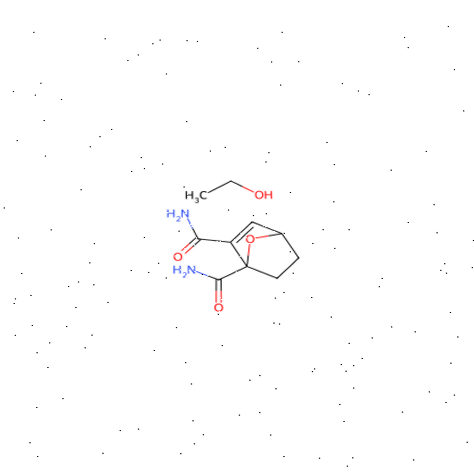 CCO.NC(=O)C1=CC2CCC1(C(N)=O)O2